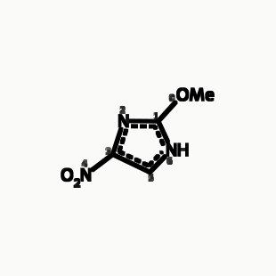 COc1nc([N+](=O)[O-])c[nH]1